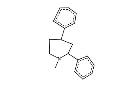 CN1CCC(c2ccccc2)CC1c1ccccc1